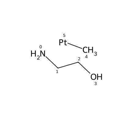 NCCO.[CH3][Pt]